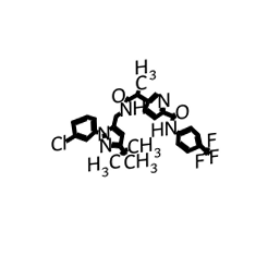 CC(C(=O)NCc1cc(C(C)(C)C)nn1-c1cccc(Cl)c1)c1ccc(C(=O)Nc2ccc(C(F)(F)F)cc2)nc1